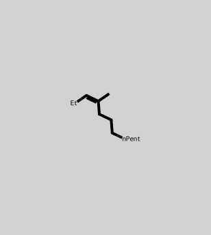 [CH2]CC=C(C)CCCCCCCC